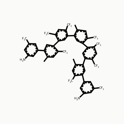 Cc1cc(C(F)(F)F)c(-c2cc(-c3cc(-c4cc(-c5cc(-c6cc(N)cc(C(F)(F)F)c6)c(C(F)(F)F)cc5C)c(C(F)(F)F)cc4C(F)(F)F)c(C(F)(F)F)cc3C)c(C(F)(F)F)cc2C(F)(F)F)cc1-c1cc(N)cc(C(F)(F)F)c1